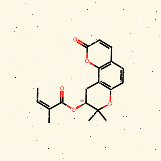 C/C=C(/C)C(=O)O[C@H]1Cc2c(ccc3ccc(=O)oc23)OC1(C)C